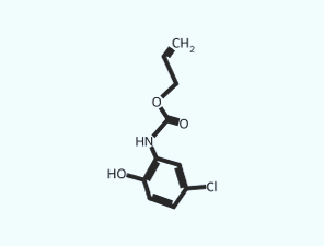 C=CCOC(=O)Nc1cc(Cl)ccc1O